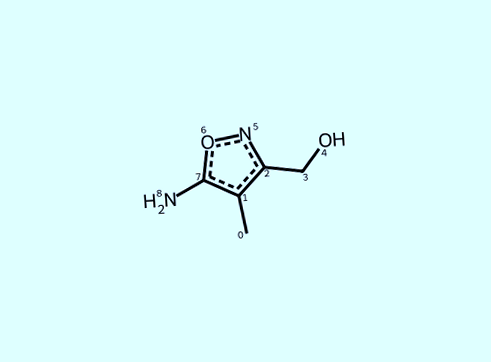 Cc1c(CO)noc1N